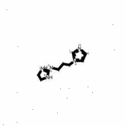 C1=NCCN1.NCCCn1ccnc1